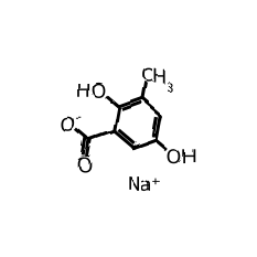 Cc1cc(O)cc(C(=O)[O-])c1O.[Na+]